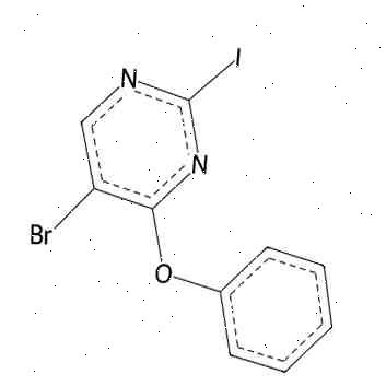 Brc1cnc(I)nc1Oc1ccccc1